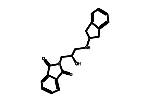 O=C1c2ccccc2C(=O)N1C[C@H](O)CNC1Cc2ccccc2C1